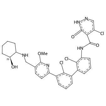 COc1nc(-c2cccc(-c3cccc(NC(=O)c4c(Cl)cn[nH]c4=O)c3Cl)c2Cl)ccc1CNC1CCCC[C@@H]1O